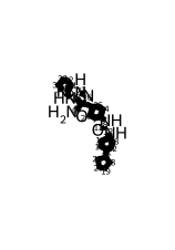 NC(=O)c1c(-c2ccc(NC(=O)Nc3ccc(C4CCCC4)cc3)cc2)n[nH]c1Nc1ccccn1